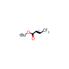 CC(C)(C)OC(=O)/C=C/C(F)(F)F